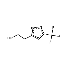 OCCc1[c]c(C(F)(F)F)n[nH]1